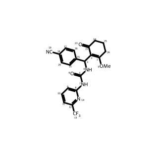 COC1=C(C(NC(=O)Nc2cccc(C(F)(F)F)n2)c2ccc(C#N)cc2)C(=O)CCC1